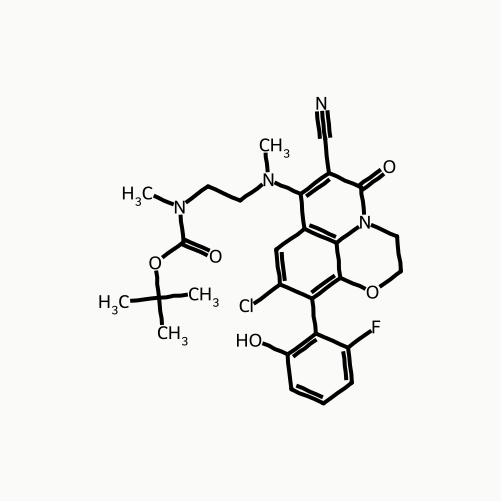 CN(CCN(C)c1c(C#N)c(=O)n2c3c(c(-c4c(O)cccc4F)c(Cl)cc13)OCC2)C(=O)OC(C)(C)C